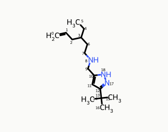 C=CCC(CC)CCNCc1cc(C(C)(C)C)n[nH]1